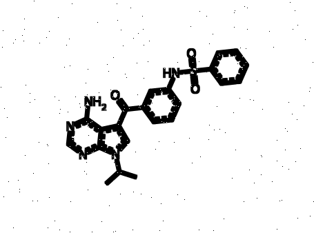 CC(C)n1cc(C(=O)c2cccc(NS(=O)(=O)c3ccccc3)c2)c2c(N)ncnc21